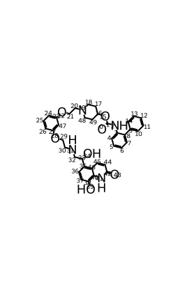 O=C(Nc1ccccc1-c1ccccc1)OC1CCN(CCOc2cccc(OCCNC[C@H](O)c3ccc(O)c4[nH]c(=O)ccc34)c2)CC1